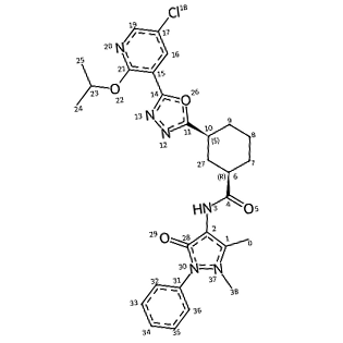 Cc1c(NC(=O)[C@@H]2CCC[C@H](c3nnc(-c4cc(Cl)cnc4OC(C)C)o3)C2)c(=O)n(-c2ccccc2)n1C